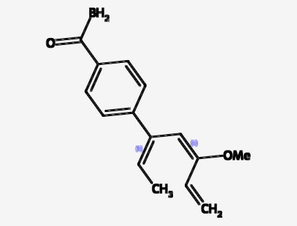 BC(=O)c1ccc(C(/C=C(\C=C)OC)=C/C)cc1